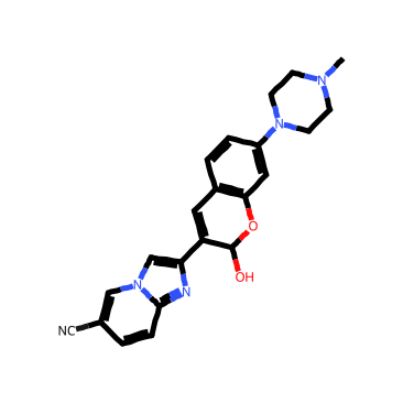 CN1CCN(c2ccc3c(c2)OC(O)C(c2cn4cc(C#N)ccc4n2)=C3)CC1